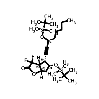 CCCCC[C@@H](C#C[C@H]1[C@@H]2[C@H](C[C@H]1O[Si](C)(C)C(C)(C)C)OC(=O)C2(F)F)O[Si](C)(C)C(C)(C)C